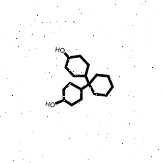 OC1CCC(C2(C3CCC(O)CC3)CCCCC2)CC1